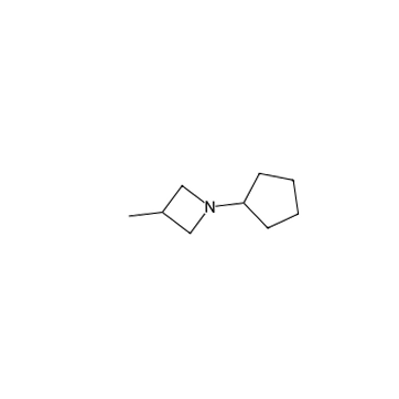 CC1CN(C2CCCC2)C1